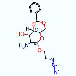 [N-]=[N+]=NCCO[C@H]1OC2COC(c3ccccc3)O[C@H]2C(O)C1N